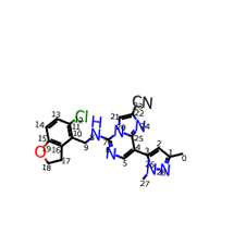 Cc1cc(-c2cnc(NCc3c(Cl)ccc4c3CCO4)n3cc(C#N)nc23)n(C)n1